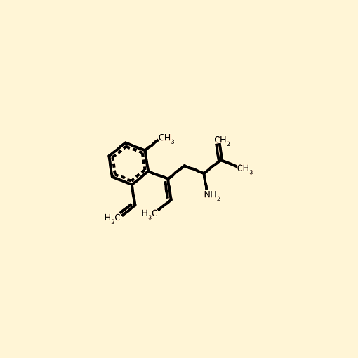 C=Cc1cccc(C)c1/C(=C\C)CC(N)C(=C)C